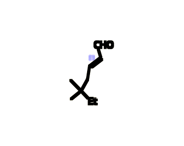 CCC(C)(C)C/C=C/C=O